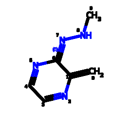 C=C1N=CC=N/C1=N/NC